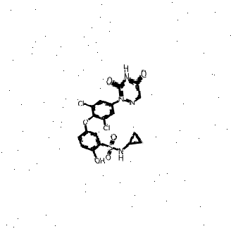 O=c1cnn(-c2cc(Cl)c(Oc3ccc(O)c(S(=O)(=O)NC4CC4)c3)c(Cl)c2)c(=O)[nH]1